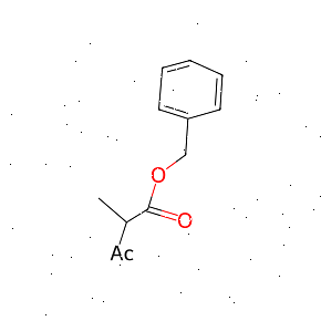 CC(=O)C(C)C(=O)OCc1ccccc1